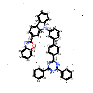 c1ccc(-c2nc(-c3ccccc3)nc(-c3ccc(-c4cccc(-n5c6ccccc6c6ccc(-c7nc8ccccc8o7)cc65)c4)cc3)n2)cc1